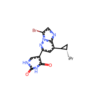 CC(C)[C@H]1CC1c1cc(-c2c[nH]c(=O)[nH]c2=O)nn2c(Br)cnc12